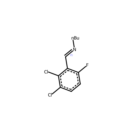 CCCC/N=C/c1c(F)ccc(Cl)c1Cl